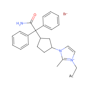 CC(=O)C[n+]1ccn(C2CCC(C(C(N)=O)(c3ccccc3)c3ccccc3)C2)c1C.[Br-]